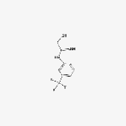 N=C(CS)Nc1cccc(C(F)(F)F)c1